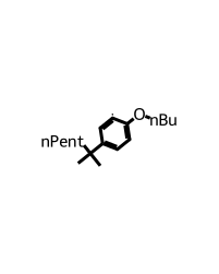 CCCCCC(C)(C)c1c[c]c(OCCCC)cc1